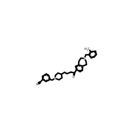 Cc1ccccc1CN1CCc2ccc(C(=O)CCCC3CCN(Cc4cccc(C#N)c4)CC3)cc2CC1